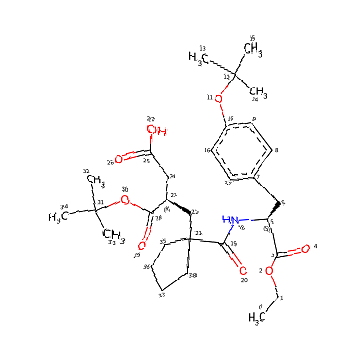 CCOC(=O)[C@H](Cc1ccc(OC(C)(C)C)cc1)NC(=O)C1(C[C@H](CC(=O)O)C(=O)OC(C)(C)C)CCCC1